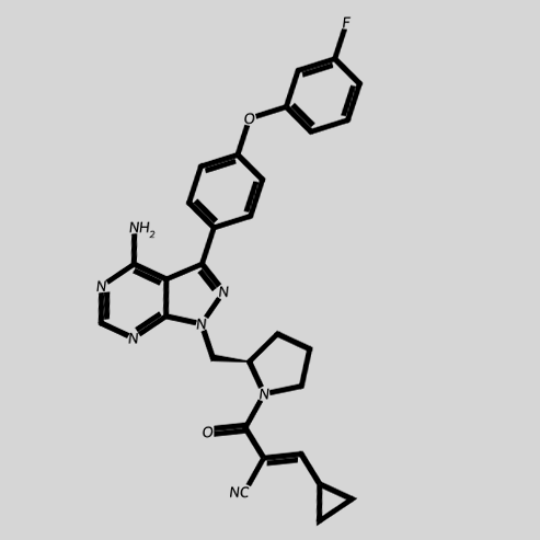 N#C/C(=C\C1CC1)C(=O)N1CCC[C@@H]1Cn1nc(-c2ccc(Oc3cccc(F)c3)cc2)c2c(N)ncnc21